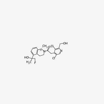 C[C@H]1c2cccc(C(C)(O)CF)c2CCN1C(=O)Cc1c(Cl)cnc(CO)c1Cl